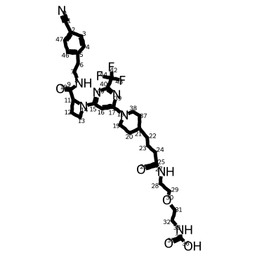 N#Cc1ccc(CCNC(=O)C2CCN2c2cc(N3CCC(CCCC(=O)NCCOCCNC(=O)O)CC3)nc(C(F)(F)F)n2)cc1